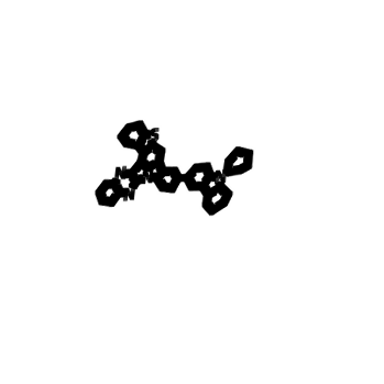 c1ccc(-n2c3ccccc3c3cc(-c4ccc5c(c4)c4cc6sc7ccccc7c6c6c7nc8ccccc8nc7n5c46)ccc32)cc1